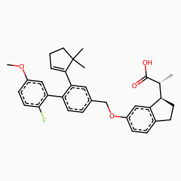 COc1ccc(F)c(-c2ccc(COc3ccc4c(c3)[C@@H]([C@@H](C)C(=O)O)CC4)cc2C2=CCCC2(C)C)c1